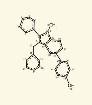 Cn1c(-c2ccccc2)c(Cc2ccccc2)c2cc(-c3ccc(O)cc3)ccc21